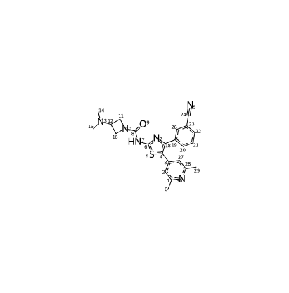 Cc1cc(-c2sc(NC(=O)N3CC(N(C)C)C3)nc2-c2cccc(C#N)c2)cc(C)n1